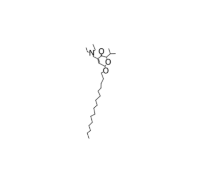 CCCCCCCCCCCCCCCCOC1C=C(CN(CC)CC)C(=O)C(C(C)C)O1